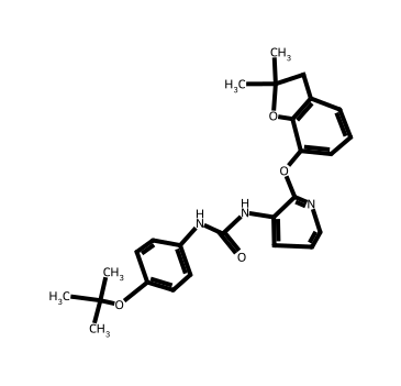 CC(C)(C)Oc1ccc(NC(=O)Nc2cccnc2Oc2cccc3c2OC(C)(C)C3)cc1